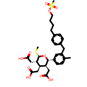 CS[C@H]1O[C@H](c2ccc(C)c(Cc3ccc(CCCCOS(C)(=O)=O)cc3)c2)[C@@H](CC(=O)O)[C@@H](CC(=O)O)[C@@H]1CC(=O)O